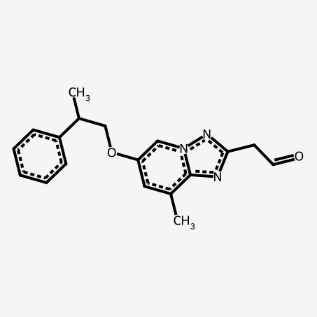 Cc1cc(OCC(C)c2ccccc2)cn2nc(CC=O)nc12